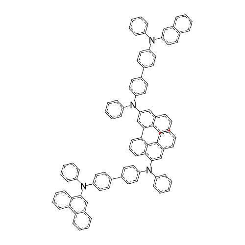 c1ccc(N(c2ccc(-c3ccc(N(c4ccccc4)c4cc(-c5cccc6c(N(c7ccccc7)c7ccc(-c8ccc(N(c9ccccc9)c9cc%10ccccc%10c%10ccccc9%10)cc8)cc7)cc7ccccc7c56)c5ccccc5c4)cc3)cc2)c2ccc3ccccc3c2)cc1